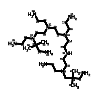 CC(C)(CN)CN(CCN)CCNCCN(CCN)CCN(CCN)CCN(CCN)C(C)(C)CN